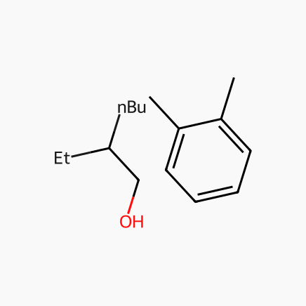 CCCCC(CC)CO.Cc1ccccc1C